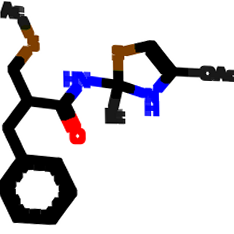 CCC1(NC(=O)C(CSC(C)=O)Cc2ccccc2)NC(OC(C)=O)=CS1